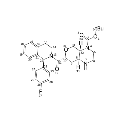 CC(C)(C)OC(=O)N1CCN[C@H]2C[C@H](C(=O)N3CCc4ccccc4[C@@H]3c3ccc(F)cc3)OC[C@@H]21